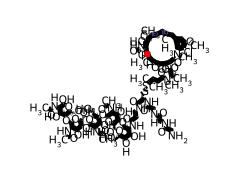 COc1cc2cc(c1Cl)N(C)C(=O)C[C@H](OC(=O)[C@H](C)N(C)C(=O)CCC(C)(C)SSC[C@H](NC(=O)CNC(=O)CNC(=O)CN)C(=O)NCCC(=O)N[C@H]1[C@H](O[C@@H]3[C@H](O)[C@@H](NC(C)=O)[C@H](OC4[C@@H](CO)O[C@@H](OC5[C@@H](CO)O[C@@H](OC6[C@@H](CO)OC(O)[C@H](NC(C)=O)[C@H]6O)[C@H](NC(C)=O)[C@H]5O)[C@H](NC(C)=O)[C@H]4O)O[C@@H]3CO)O[C@H](CO)[C@@H](O)[C@@H]1O)[C@]1(C)O[C@H]1[C@H](C)[C@@H]1C[C@@](O)(NC(=O)O1)[C@H](OC)/C=C/C=C(\C)C2